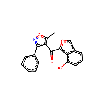 Cc1onc(-c2ccccc2)c1C(=O)c1occ2cccc(O)c12